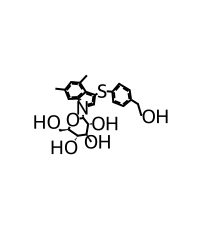 Cc1cc(C)c2c(Sc3ccc(CCO)cc3)cn([C@@H]3O[C@H](CO)[C@@H](O)[C@H](O)[C@H]3O)c2c1